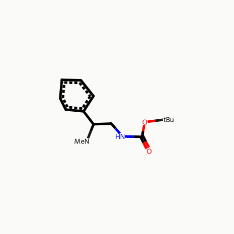 CNC(CNC(=O)OC(C)(C)C)c1ccccc1